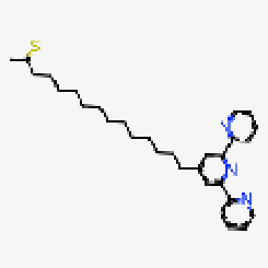 CC(=S)CCCCCCCCCCCCCc1cc(-c2ccccn2)nc(-c2ccccn2)c1